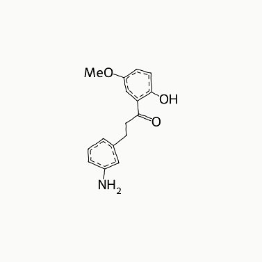 COc1ccc(O)c(C(=O)CCc2cccc(N)c2)c1